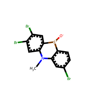 CN1c2cc(Br)ccc2[S+]([O-])c2cc(Br)c(Br)cc21